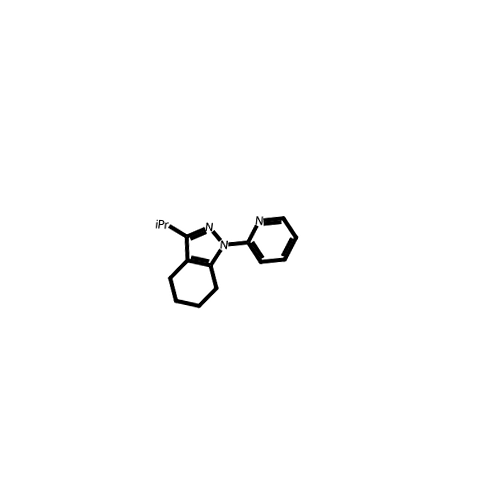 CC(C)c1nn(-c2ccccn2)c2c1CCCC2